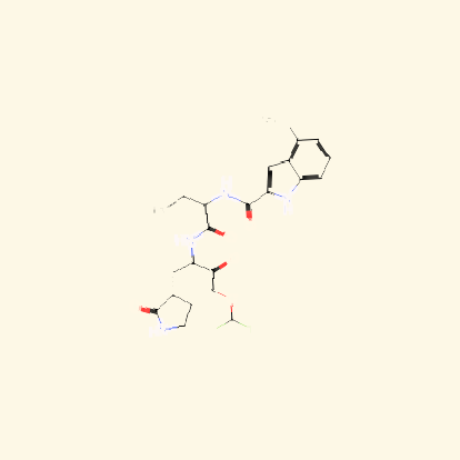 COc1cccc2[nH]c(C(=O)NC(CC(C)C)C(=O)NC(C[C@@H]3CCNC3=O)C(=O)COC(F)F)cc12